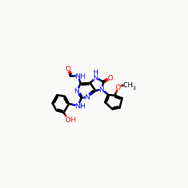 COc1ccccc1-n1c(=O)[nH]c2c(NC=O)nc(Nc3ccccc3O)nc21